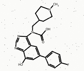 CN1CCC(CN(C(=O)O)c2ncnc3c(O)cc(-c4ccc(F)cc4)cc23)CC1